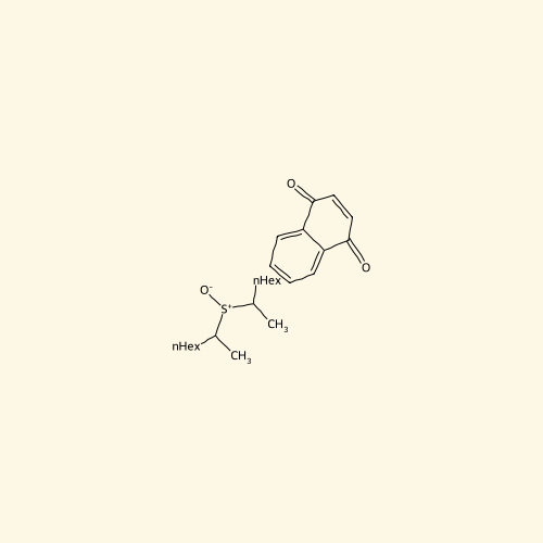 CCCCCCC(C)[S+]([O-])C(C)CCCCCC.O=C1C=CC(=O)c2ccccc21